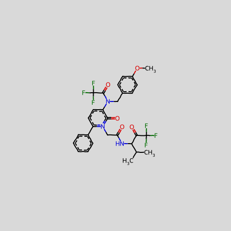 COc1ccc(CN(C(=O)C(F)(F)F)c2ccc(-c3ccccc3)n(CC(=O)NC(C(=O)C(F)(F)F)C(C)C)c2=O)cc1